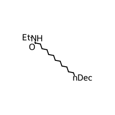 [CH2]CNC(=O)CCCCCCCCCCCCCCCCCCCCC